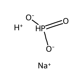 O=[PH]([O-])[O-].[H+].[Na+]